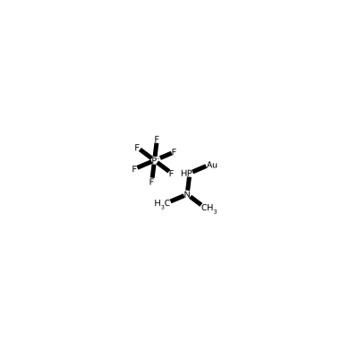 CN(C)[PH][Au].F[P-](F)(F)(F)(F)F